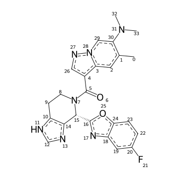 Cc1cc2c(C(=O)N3CCc4[nH]cnc4[C@H]3c3nc4cc(F)ccc4o3)cnn2cc1N(C)C